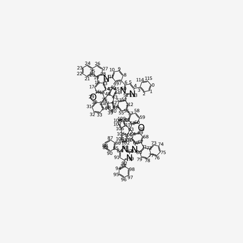 c1ccc(-c2cc(-c3cccc(-n4c5cc6c(cc5c5c7ccccc7ccc54)Oc4ccccc4C64c5ccccc5-c5ccccc54)c3)nc(-c3cccc(-c4ccc5c(c4)C4(c6cc7c(cc6O5)c5c6ccccc6ccc5n7-c5nc(-c6ccccc6)cc(-c6ccccc6)n5)c5ccccc5-c5ccccc54)c3)n2)cc1